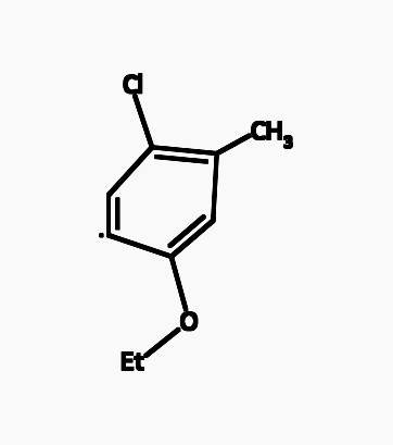 CCOc1[c]cc(Cl)c(C)c1